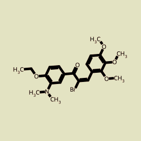 CCOc1ccc(C(=O)/C(Br)=C\c2ccc(OC)c(OC)c2OC)cc1N(C)C